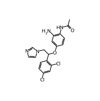 CC(=O)Nc1ccc(OC(Cn2ccnc2)c2ccc(Cl)cc2Cl)cc1N